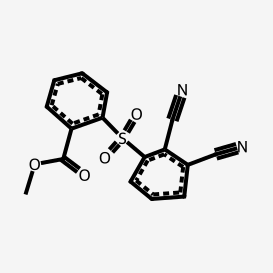 COC(=O)c1ccccc1S(=O)(=O)c1cccc(C#N)c1C#N